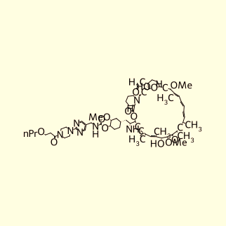 CCCOCCC(=O)N1CCN(c2ncc(CNC(=O)O[C@@H]3CC[C@@H](C[C@@H](N)[C@@H]4CC[C@H](C)/C=C(\C)[C@@H](O)[C@@H](OC)C(=O)[C@H](C)C[C@H](C)/C=C/C=C/C=C(\C)[C@@H](OC)C[C@@H]5CC[C@@H](C)[C@](O)(CC(=O)N6CCCC[C@H]6C(=O)O4)O5)C[C@H]3OC)cn2)CC1